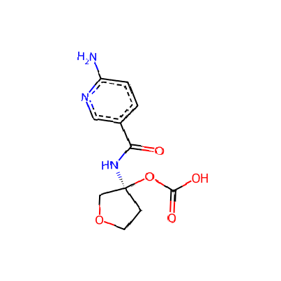 Nc1ccc(C(=O)N[C@]2(OC(=O)O)CCOC2)cn1